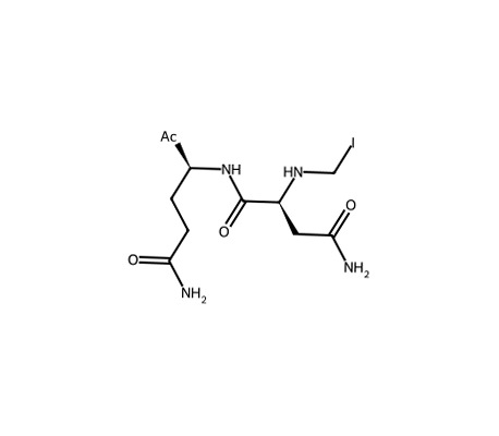 CC(=O)[C@H](CCC(N)=O)NC(=O)[C@H](CC(N)=O)NCI